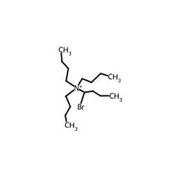 CCCC[N+](CCCC)(CCCC)C(Br)CCC